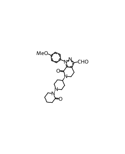 COc1ccc(-n2nc(C=O)c3c2C(=O)N(C2CCN(N4CCCCC4=O)CC2)CC3)cc1